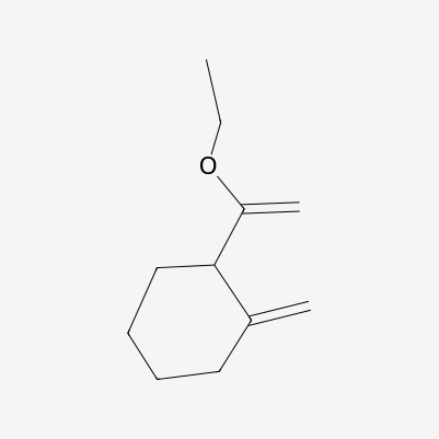 C=C1CCCCC1C(=C)OCC